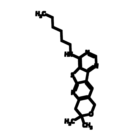 CCCCCCNc1ncnc2c1sc1nc3c(cc12)COC(C)(C)C3